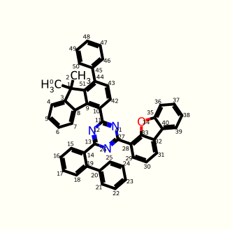 CC1(C)c2ccccc2-c2c(-c3nc(-c4ccccc4-c4ccccc4)nc(-c4cccc5c4oc4ccccc45)n3)ccc(-c3ccccc3)c21